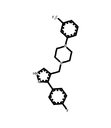 Fc1ccc(-c2n[nH]cc2CN2CCN(c3cccc(C(F)(F)F)c3)CC2)cc1